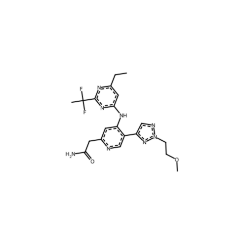 CCc1cc(Nc2cc(CC(N)=O)ncc2-c2cnn(CCOC)n2)nc(C(C)(F)F)n1